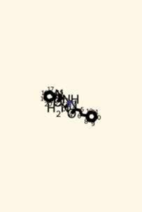 N/C(=N\C(=O)CCc1ccccc1)Nc1nc2ccccc2o1